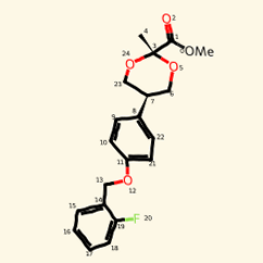 COC(=O)[C@]1(C)OC[C@@H](c2ccc(OCc3ccccc3F)cc2)CO1